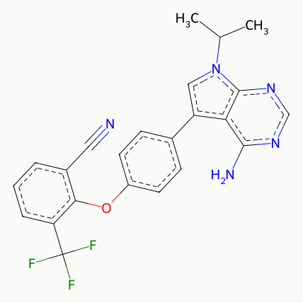 CC(C)n1cc(-c2ccc(Oc3c(C#N)cccc3C(F)(F)F)cc2)c2c(N)ncnc21